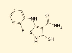 NC(=O)C1=C(Nc2ccccc2F)SNC1S